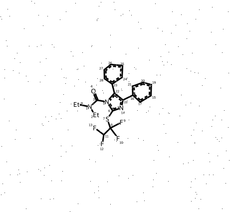 CCN(CC)C(=O)n1c(SC(F)(F)C(F)F)nc(-c2ccccc2)c1-c1ccccc1